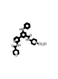 CCOC(=O)N1CCC(NC(=O)c2cc(Nc3ccccc3)cc(-c3ccnc(NC(=O)C4CCOCC4)c3)c2)CC1